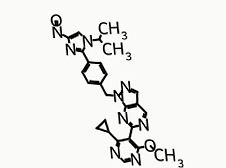 COc1ncnc(C2CC2)c1-c1ncc2cnn(Cc3ccc(-c4nc(N=O)cn4C(C)C)cc3)c2n1